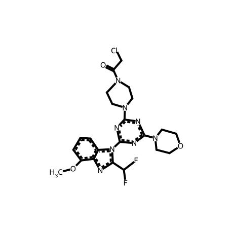 COc1cccc2c1nc(C(F)F)n2-c1nc(N2CCOCC2)nc(N2CCN(C(=O)CCl)CC2)n1